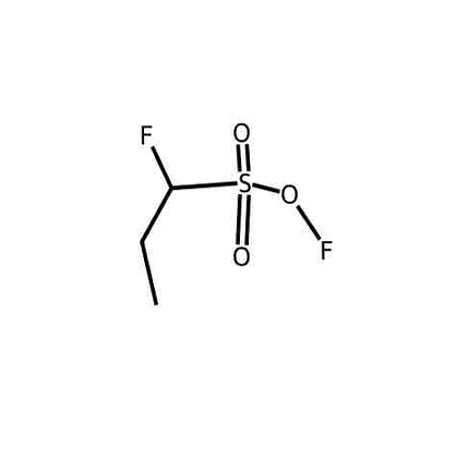 CCC(F)S(=O)(=O)OF